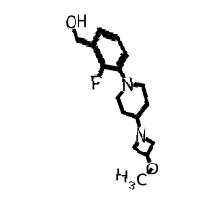 COC1CN(C2CCN(c3cccc(CO)c3F)CC2)C1